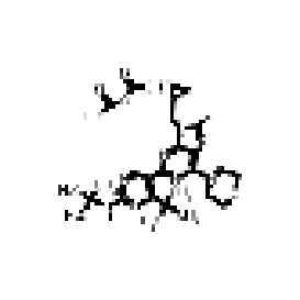 CC(C)(C)Nc1ncc(-c2nc(N3CCOCC3)c3nc(Cl)n(CC4CC4)c3n2)c(C(C)(C)C)n1.O=C(O)OC(=O)O